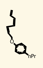 C=C/C=C\C=C/COc1ccc(CCC)cc1